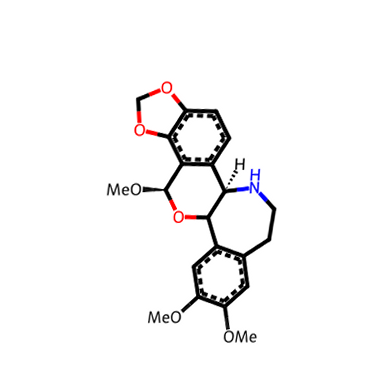 COc1cc2c(cc1OC)C1O[C@@H](OC)c3c(ccc4c3OCO4)[C@H]1NCC2